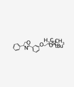 CC(C)(C)[Si](C)(C)OCCOc1cccc(C2=NC(c3ccccc3)CO2)c1